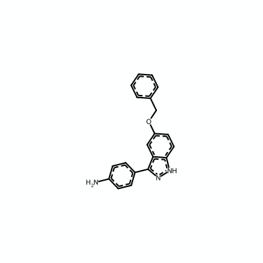 Nc1ccc(-c2n[nH]c3ccc(OCc4ccccc4)cc23)cc1